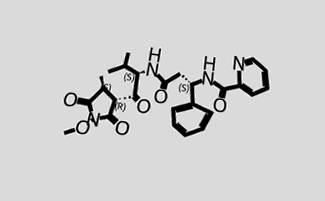 CON1C(=O)[C@@H](C(=O)[C@@H](NC(=O)C[C@H](NC(=O)c2ccccn2)c2ccccc2)C(C)C)[C@H](C)C1=O